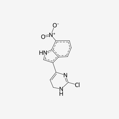 O=[N+]([O-])c1cccc2c(C3=CCNC(Cl)=N3)c[nH]c12